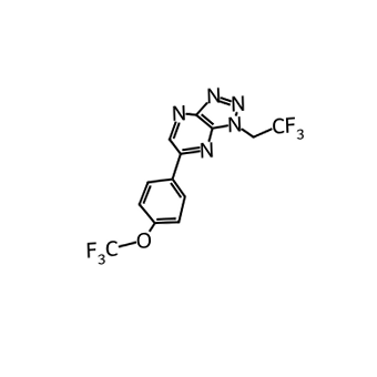 FC(F)(F)Cn1nnc2ncc(-c3ccc(OC(F)(F)F)cc3)nc21